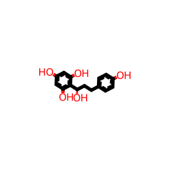 Oc1ccc(CC[C@@H](O)c2c(O)cc(O)cc2O)cc1